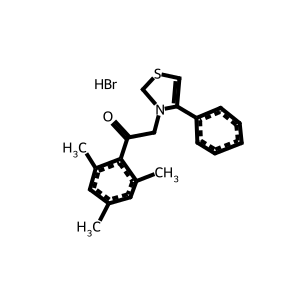 Br.Cc1cc(C)c(C(=O)CN2CSC=C2c2ccccc2)c(C)c1